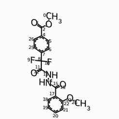 COC(=O)c1ccc(C(F)(F)C(=O)NNC(=O)c2ccccc2OC)cc1